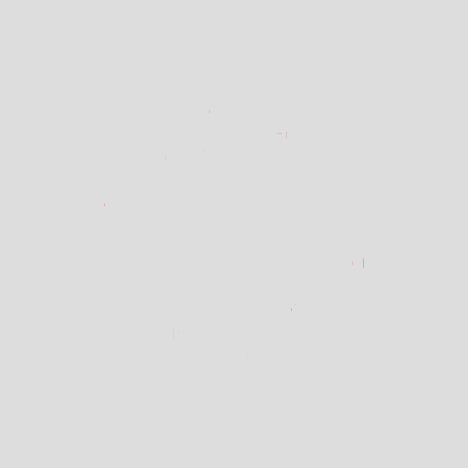 O=C1OC(=O)c2c(Br)cc3c4c(c(Br)cc1c24)C(=O)OC3O